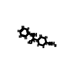 N[C@H]1CC[C@@H](C(=O)Nc2ccccc2)CC1